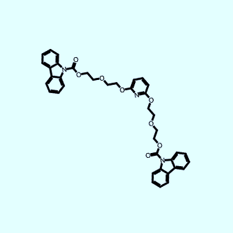 O=C(OCCOCCOc1cccc(OCCOCCOC(=O)n2c3ccccc3c3ccccc32)n1)n1c2ccccc2c2ccccc21